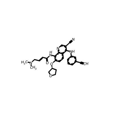 C#Cc1cccc(Nc2c(C#N)cnc3c(NC(=O)/C=C/CN(C)C)c(O[C@H]4CCOC4)ccc23)c1